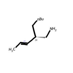 C/C=C/[C@@H](CN)CCCCC